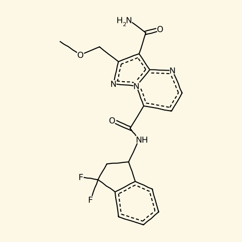 COCc1nn2c(C(=O)NC3CC(F)(F)c4ccccc43)ccnc2c1C(N)=O